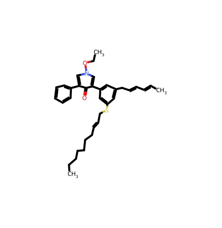 C/C=C/C=C/Cc1cc(SC/C=C/CCCCCCC)cc(-c2cn(OCC)cc(-c3ccccc3)c2=O)c1